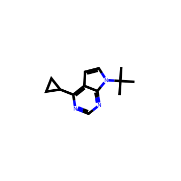 CC(C)(C)n1ccc2c(C3CC3)ncnc21